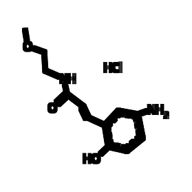 COCCNC(=O)/C=C/c1cc(N)ccc1O.Cl